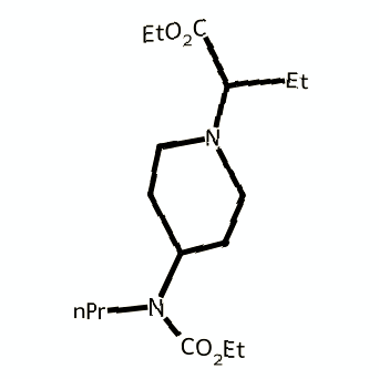 CCCN(C(=O)OCC)C1CCN(C(CC)C(=O)OCC)CC1